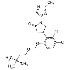 Cc1ncc(N2CC(c3c(OCOCC[Si](C)(C)C)ccc(Cl)c3Cl)CC2=O)s1